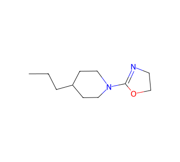 CCCC1CCN(C2=NCCO2)CC1